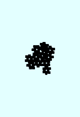 c1ccc(-c2cccc(N(c3ccc4c(c3)C3(c5ccccc5-c5ccccc53)c3ccccc3-4)c3ccc4c(c3)C3(c5ccccc5-c5cccc(-c6ccccc6)c53)c3cccc(-c5ccccc5)c3-4)c2)cc1